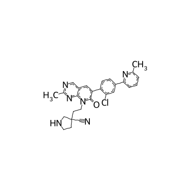 Cc1cccc(-c2ccc(-c3cc4cnc(C)nc4n(CCC4(C#N)CCNC4)c3=O)c(Cl)c2)n1